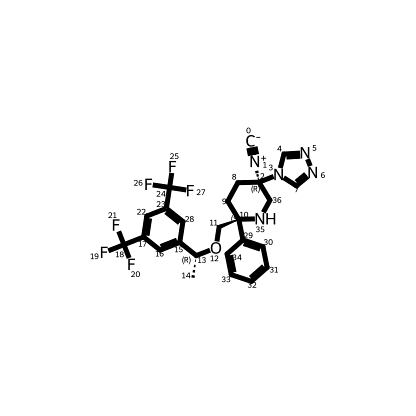 [C-]#[N+][C@@]1(n2cnnc2)CC[C@@](CO[C@H](C)c2cc(C(F)(F)F)cc(C(F)(F)F)c2)(c2ccccc2)NC1